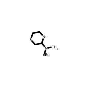 CCCCN(C)C1CSCC[N]1